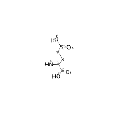 [NH]C(CCC(=O)O)C(=O)O